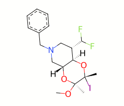 CO[C@@]1(C)O[C@@H]2CN(Cc3ccccc3)C[C@H](C(F)F)[C@H]2O[C@]1(C)I